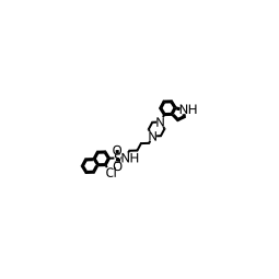 O=S(=O)(NCCCCN1CCN(c2cccc3[nH]ccc23)CC1)c1ccc2ccccc2c1Cl